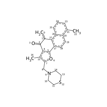 C=C1C(=O)c2c(oc(CN3CCSCC3)c2C)-c2ccc3c(C)cccc3c21